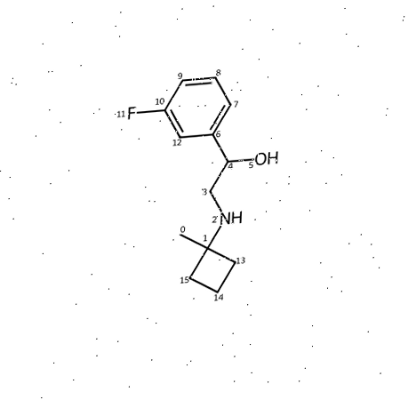 CC1(NCC(O)c2cccc(F)c2)CCC1